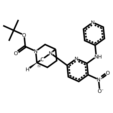 CC(C)(C)OC(=O)N1CC2CC[C@H]1CN2c1ccc([N+](=O)[O-])c(Nc2ccncc2)n1